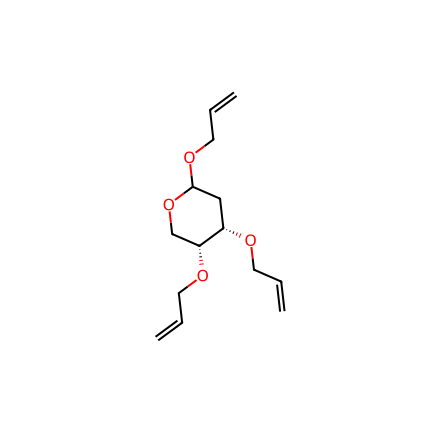 C=CCOC1C[C@H](OCC=C)[C@H](OCC=C)CO1